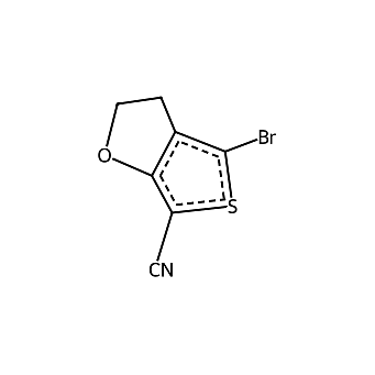 N#Cc1sc(Br)c2c1OCC2